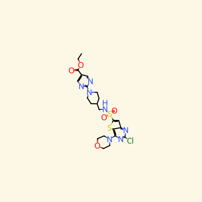 CCOC(=O)c1cnc(N2CCC(CNS(=O)(=O)c3cc4nc(Cl)nc(N5CCOCC5)c4s3)CC2)nc1